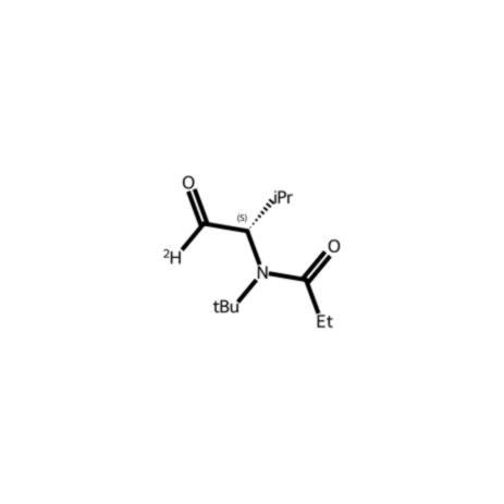 [2H]C(=O)[C@H](C(C)C)N(C(=O)CC)C(C)(C)C